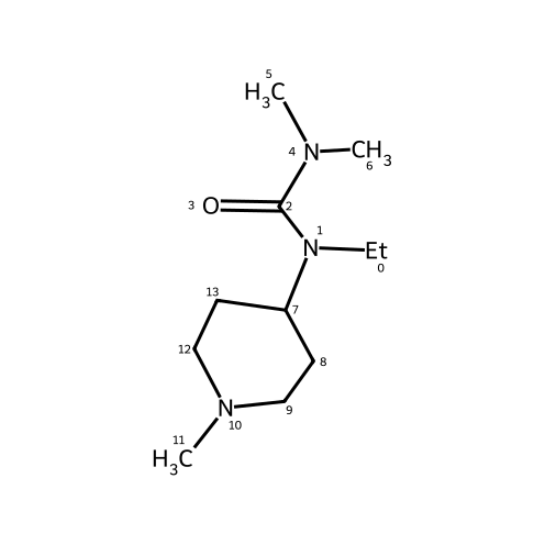 CCN(C(=O)N(C)C)C1CCN(C)CC1